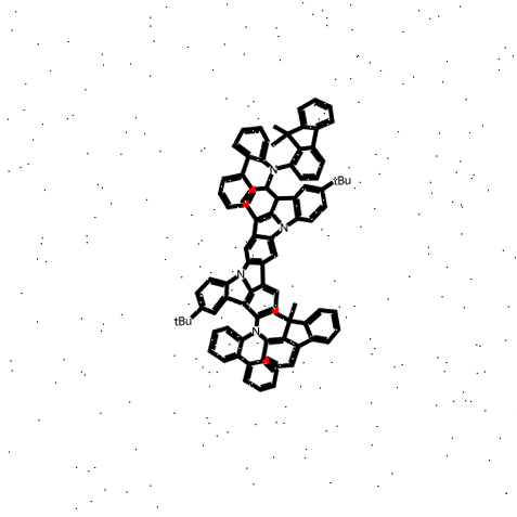 CC(C)(C)c1ccc2c(c1)C1c3c(c4cc5c(cc4n3-2)c2ccc(N(c3ccccc3-c3ccccc3)c3cccc4c3C(C)(C)c3ccccc3-4)c3c4cc(C(C)(C)C)ccc4n5c23)C=CC1N(c1ccccc1-c1ccccc1)c1cccc2c1C(C)(C)c1ccccc1-2